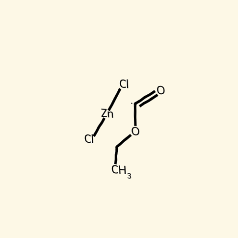 CCO[C]=O.[Cl][Zn][Cl]